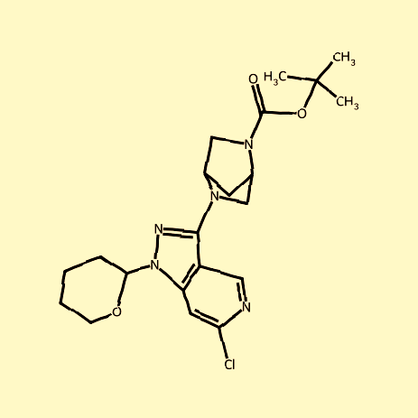 CC(C)(C)OC(=O)N1CC2CC1CN2c1nn(C2CCCCO2)c2cc(Cl)ncc12